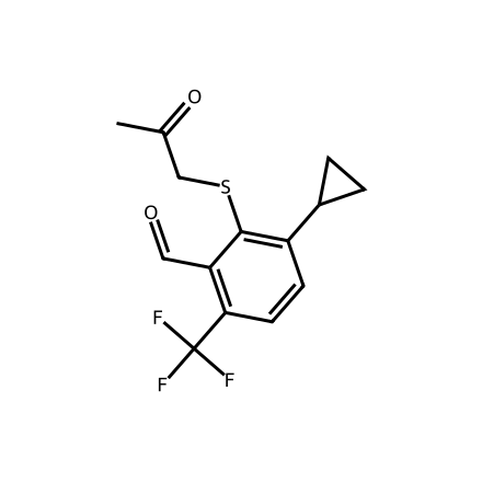 CC(=O)CSc1c(C2CC2)ccc(C(F)(F)F)c1C=O